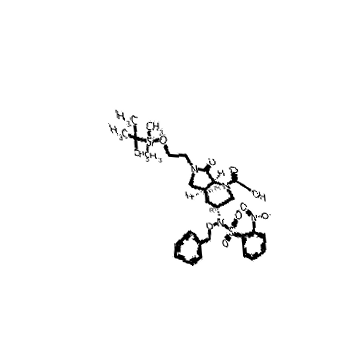 CC(C)(C)[Si](C)(C)OCCN1C[C@@H]2C[C@@H](N(OCc3ccccc3)S(=O)(=O)c3ccccc3[N+](=O)[O-])CN(C(=O)O)[C@@H]2C1=O